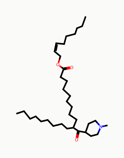 CCCCCC/C=C\COC(=O)CCCCCCCCC(CCCCCCCCC)C(=O)C1CCN(C)CC1